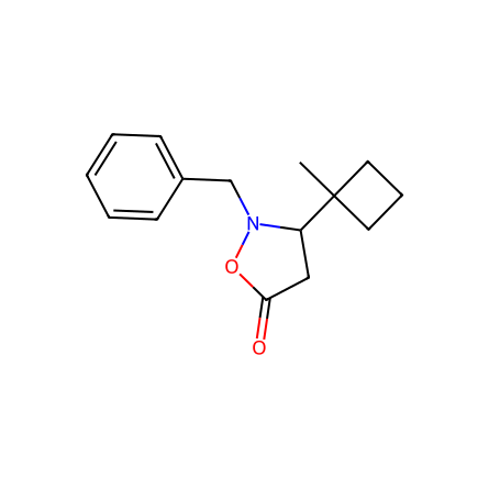 CC1(C2CC(=O)ON2Cc2ccccc2)CCC1